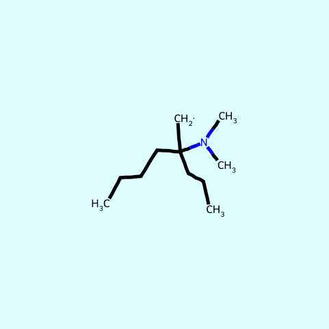 [CH2]C(CCC)(CCCC)N(C)C